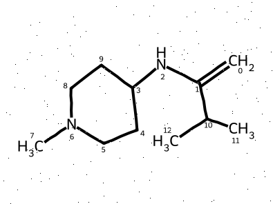 C=C(NC1CCN(C)CC1)C(C)C